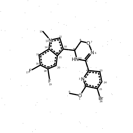 COc1nc(C2=NOCC(c3cn(C)c4cc(F)c(F)cc34)N2)ccc1Br